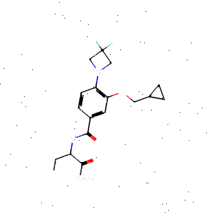 CNC(=O)C(CC(C)C)NC(=O)c1ccc(N2CC(F)(F)C2)c(OCC2CC2)c1